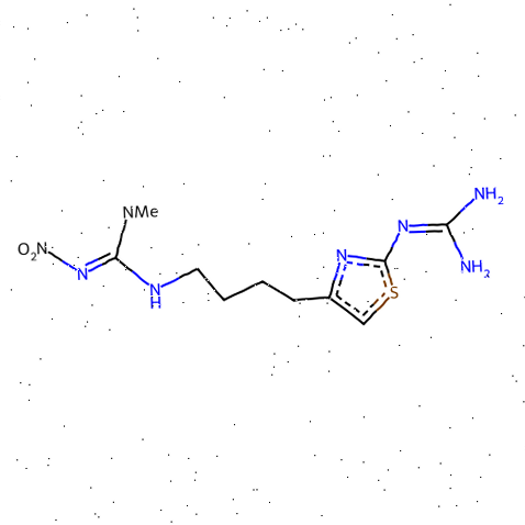 CN/C(=N\[N+](=O)[O-])NCCCCc1csc(N=C(N)N)n1